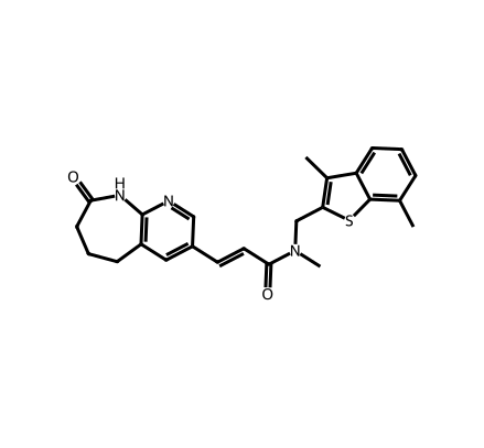 Cc1c(CN(C)C(=O)/C=C/c2cnc3c(c2)CCCC(=O)N3)sc2c(C)cccc12